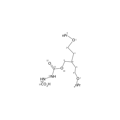 CCCOCCC(CCOCCC)COC(=O)NNC(=O)O